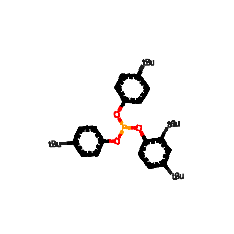 CC(C)(C)c1ccc(OP(Oc2ccc(C(C)(C)C)cc2)Oc2ccc(C(C)(C)C)cc2C(C)(C)C)cc1